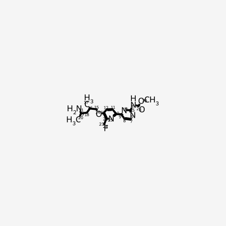 COC(=O)Nc1nccc(-c2ccc(OCC(C)CC(C)N)c(CF)n2)n1